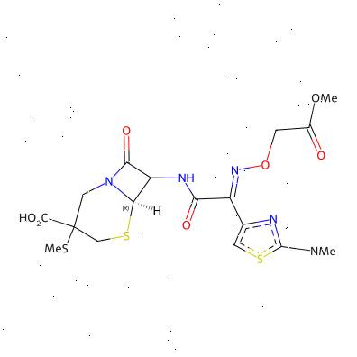 CNc1nc(C(=NOCC(=O)OC)C(=O)NC2C(=O)N3CC(SC)(C(=O)O)CS[C@H]23)cs1